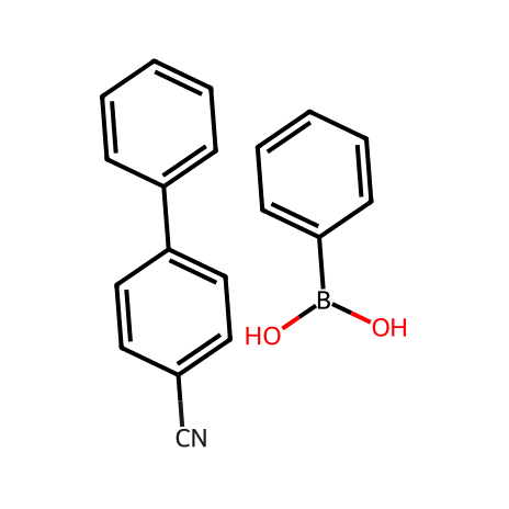 N#Cc1ccc(-c2ccccc2)cc1.OB(O)c1ccccc1